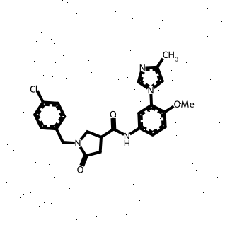 COc1ccc(NC(=O)C2CC(=O)N(Cc3ccc(Cl)cc3)C2)cc1-n1cnc(C)c1